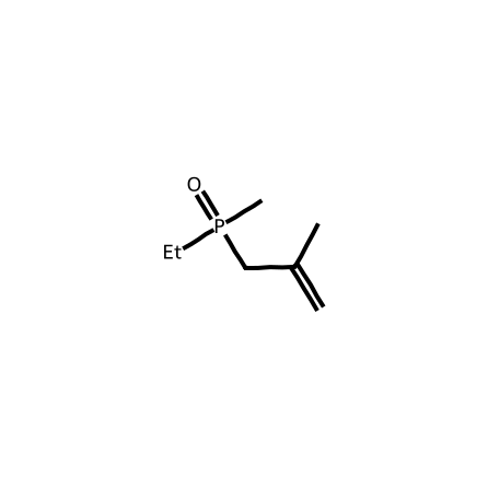 C=C(C)CP(C)(=O)CC